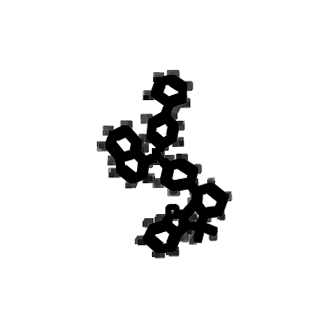 CC1(C)c2cccc(-c3ccc(N(c4ccc(-c5ccccc5)cc4)c4cccc5ccccc45)cc3)c2-c2oc3ccccc3c21